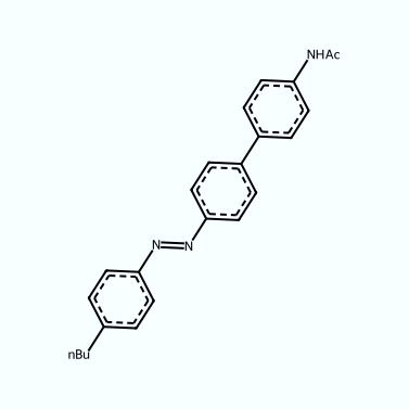 CCCCc1ccc(N=Nc2ccc(-c3ccc(NC(C)=O)cc3)cc2)cc1